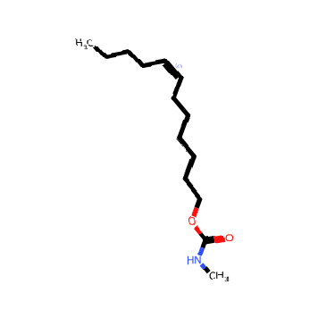 CCCC/C=C\CCCCCCOC(=O)NC